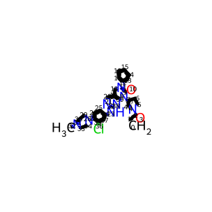 C=CC(=O)N1CC[C@H](N2C(=O)N(c3ccccc3)Cc3cnc(Nc4ccc(N5CCN(C)CC5)c(Cl)c4)nc32)C1